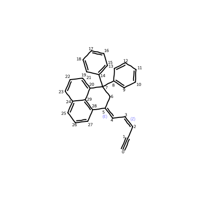 C#C/C=C\C=C1/CC(c2ccccc2)(c2ccccc2)c2cccc3cccc1c23